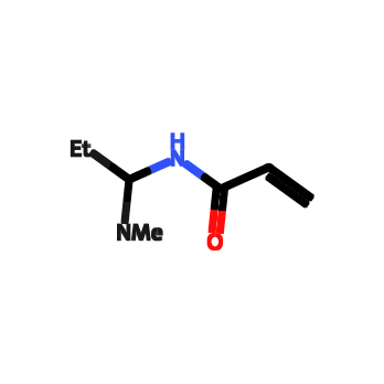 C=CC(=O)NC(CC)NC